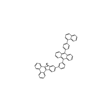 c1cc(-c2ccc3c(c2)sc2c4ccccc4c4ccccc4c32)cc(-c2c3ccccc3c(-c3ccc(-c4cccc5ccccc45)cc3)c3ccccc23)c1